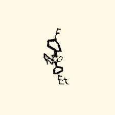 CCc1ccc(-c2nnc(-c3ccc(F)cc3)o2)cc1